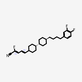 N#C/C(F)=C/C=C/C1CCC([C@H]2CC[C@H](CCCCc3ccc(F)c(F)c3)CC2)CC1